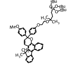 COc1ccc(C2(c3ccc(OCCOC(C)(C)CC[Si](OC(C)(C)C)(OC(C)(C)C)OC(C)(C)C)cc3)C=Cc3c4c(c5ccccc5c3O2)-c2ccccc2C4(C)C)cc1